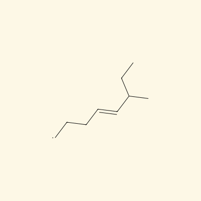 [CH2]CC/C=C/C(C)CC